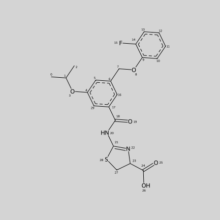 CC(C)Oc1cc(COc2ccccc2F)cc(C(=O)NC2=NC(C(=O)O)CS2)c1